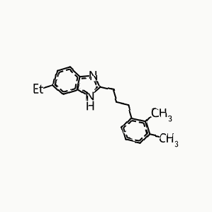 CCc1ccc2nc(CCCc3cccc(C)c3C)[nH]c2c1